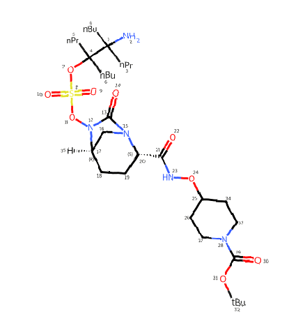 CCCCC(N)(CCC)C(CCC)(CCCC)OS(=O)(=O)ON1C(=O)N2C[C@H]1CC[C@H]2C(=O)NOC1CCN(C(=O)OC(C)(C)C)CC1